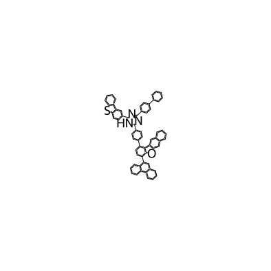 c1ccc(-c2ccc(C3=NC(c4ccc5sc6ccccc6c5c4)NC(c4ccc(-c5ccc(-c6cc7ccccc7c7ccccc67)c6oc7cc8ccccc8cc7c56)cc4)=N3)cc2)cc1